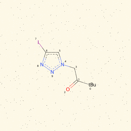 CC(C)(C)C(=O)Cn1cc(I)nn1